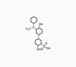 CC(c1ccccc1)c1cc(-c2ccc(O)c(S(=O)(=O)O)c2)ccc1O